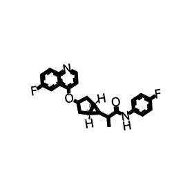 CC(C(=O)Nc1ccc(F)cc1)C1[C@H]2CC(Oc3ccnc4ccc(F)cc34)C[C@@H]12